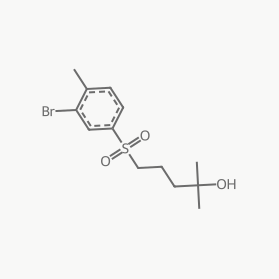 Cc1ccc(S(=O)(=O)CCCC(C)(C)O)cc1Br